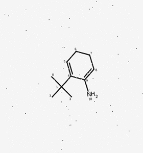 CC(C)(C)C1=CCCC=C1N